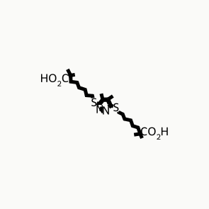 Cc1c(SCCCCCCC(C)(C)C(=O)O)nnc(SCCCCCCC(C)(C)C(=O)O)c1C